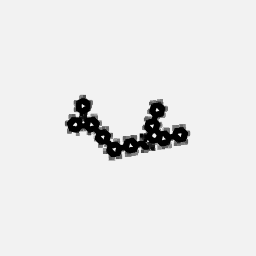 C1=CC2c3cc(-c4ccc(-c5cccc(-c6ccc(-c7cnc8c9ccc(-c%10ccccc%10)cc9c9cc(-c%10ccccc%10)ccc9c8n7)cc6)c5)cc4)ccc3N(c3ccccc3)C2C=C1